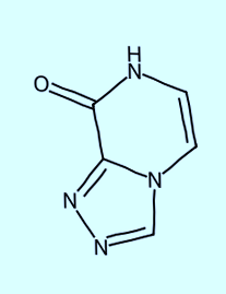 O=c1[nH]ccn2cnnc12